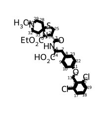 CCOC(=O)N1[C@@H](C(=O)N[C@@H](Cc2ccc(OCc3c(Cl)cccc3Cl)cc2)C(=O)O)CSC12CCN(C)CC2